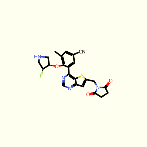 Cc1cc(C#N)cc(-c2ncnc3cc(CN4C(=O)CCC4=O)sc23)c1O[C@@H]1CNC[C@@H]1F